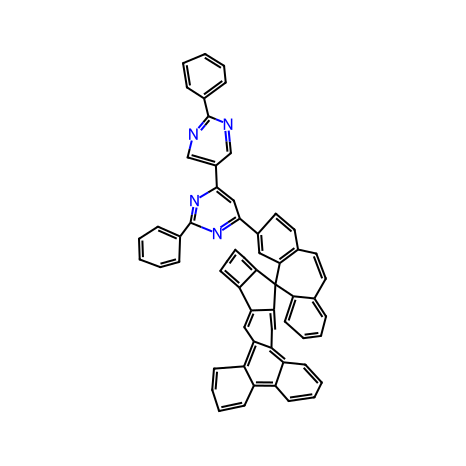 C1=Cc2ccc(-c3cc(-c4cnc(-c5ccccc5)nc4)nc(-c4ccccc4)n3)cc2C2(c3ccccc31)c1ccccc1-c1cc3c4ccccc4c4ccccc4c3cc12